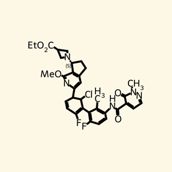 CCOC(=O)C1CN([C@H]2CCc3cc(C4C=CC(F)=C(c5c(F)ccc(NC(=O)c6ccnn(C)c6=O)c5C)C4Cl)nc(OC)c32)C1